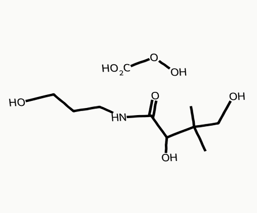 CC(C)(CO)C(O)C(=O)NCCCO.O=C(O)OO